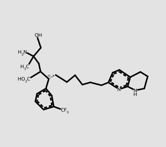 CC(N)(CO)CC(C(=O)O)[C@H](CCCCCCc1ccc2c(n1)NCCC2)c1cccc(C(F)(F)F)c1